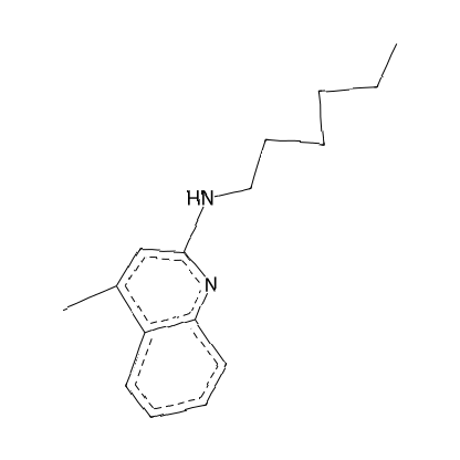 CCCCCCNc1cc(C)c2ccccc2n1